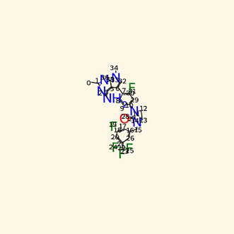 Cc1nc(N)c2c(-c3ccc(N4CCN(Cc5cc(F)cc(C(F)(F)F)c5)C4=O)cc3F)cn(C)c2n1